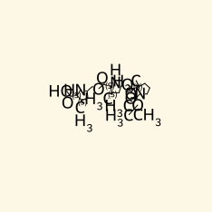 C[C@H]1CC(COC(=O)[C@H]2NC(OC(=O)[C@]3(C)CCCN3C(=O)OC(C)(C)C)C[C@@H]2C)N[C@@H]1C(=O)O